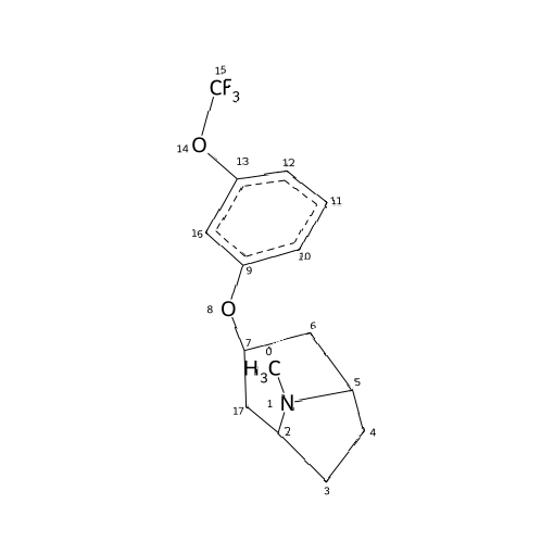 CN1C2CCC1CC(Oc1cccc(OC(F)(F)F)c1)C2